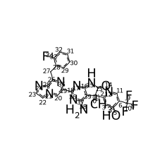 C[C@@]1(c2cc(O)c(C(F)(F)F)cn2)C(=O)Nc2nc(-c3cn4ccnc4c(Cc4ccccc4F)n3)nc(N)c21